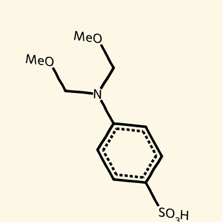 COCN(COC)c1ccc(S(=O)(=O)O)cc1